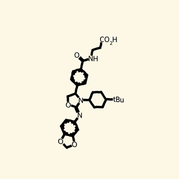 CC(C)(C)C1CCC(N2C(=Nc3ccc4c(c3)OCO4)OCC2c2ccc(C(=O)NCCC(=O)O)cc2)CC1